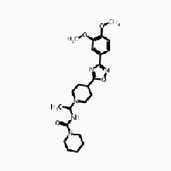 COc1ccc(-c2noc(C3CCN(C(C)NC(=O)N4CCCCC4)CC3)n2)cc1OC